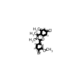 COc1nc(C(=O)N(C)C(C)c2ccc(Cl)cc2C)ccc1Br